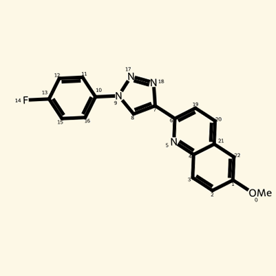 COc1ccc2nc(-c3cn(-c4ccc(F)cc4)nn3)ccc2c1